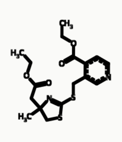 CCOC(=O)CC1(C)CSC(SCc2cnccc2C(=O)OCC)=N1